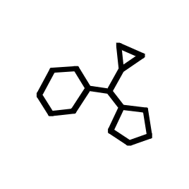 C1CCC(C(C2CCCC2)C2CC2)CC1